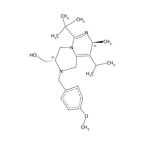 COc1ccc(CN2CC3=C(C(C)C)[C@H](C)N=C(C(C)(C)C)N3C[C@H]2CO)cc1